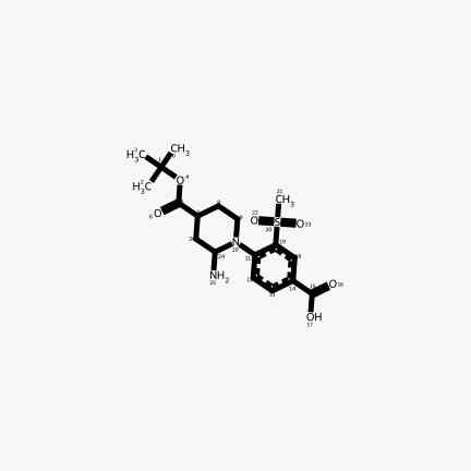 CC(C)(C)OC(=O)C1CCN(c2ccc(C(=O)O)cc2S(C)(=O)=O)C(N)C1